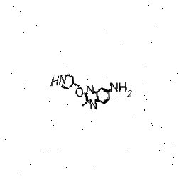 Cc1nc2ccc(N)cc2nc1OCC1CCNCC1